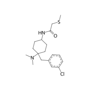 CSCC(=O)NC1CCC(Cc2cccc(Cl)c2)(N(C)C)CC1